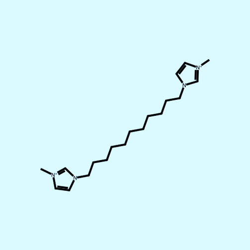 C[n+]1ccn(CCCCCCCCCCCn2cc[n+](C)c2)c1